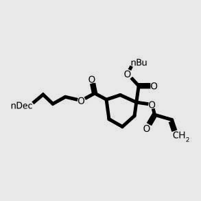 C=CC(=O)OC1(C(=O)OCCCC)CCCC(C(=O)OCCCCCCCCCCCCC)C1